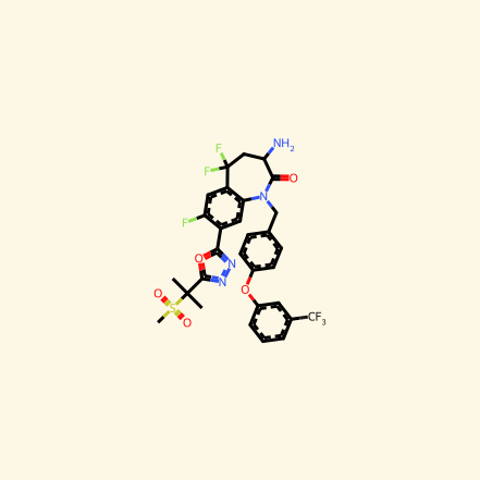 CC(C)(c1nnc(-c2cc3c(cc2F)C(F)(F)CC(N)C(=O)N3Cc2ccc(Oc3cccc(C(F)(F)F)c3)cc2)o1)S(C)(=O)=O